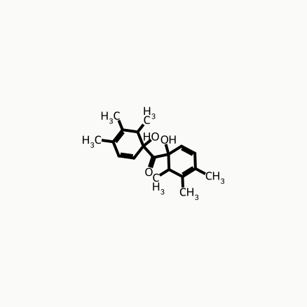 CC1=C(C)C(C)C(O)(C(=O)C2(O)C=CC(C)=C(C)C2C)C=C1